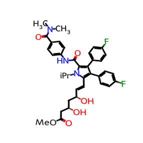 COC(=O)C[C@H](O)C[C@H](O)C=Cc1c(-c2ccc(F)cc2)c(-c2ccc(F)cc2)c(C(=O)Nc2ccc(C(=O)N(C)C)cc2)n1C(C)C